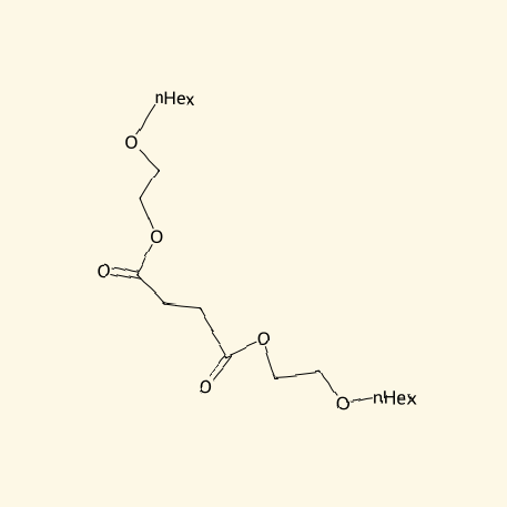 CCCCCCOCCOC(=O)CCC(=O)OCCOCCCCCC